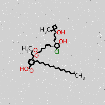 CCCCCCCCCCCCCCCCc1cc(C(=O)O)ccc1C(CCC)OC(=O)CCC/C=C\C[C@@H]1[C@@H](/C=C/C[C@H](O)C2(CC)CCC2)[C@H](O)C[C@H]1Cl